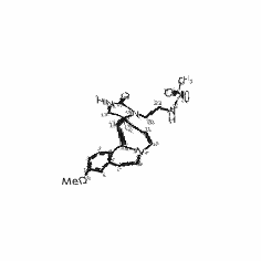 COc1ccc2c(c1)C=CN1C=CC3(C=C21)CNC(=O)N3CCNS(C)(=O)=O